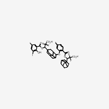 O=C(OC(C12CC3CC(CC(C3)C1)C2)C(F)(F)C(=O)O)c1ccc(I)cc1OC1C2CC3CC1CC(C(OC(=O)c1cc(I)cc(I)c1O)C(F)(F)C(=O)O)(C3)C2